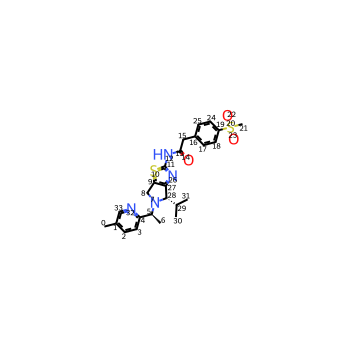 Cc1ccc([C@H](C)N2Cc3sc(NC(=O)Cc4ccc(S(C)(=O)=O)cc4)nc3[C@@H]2C(C)C)nc1